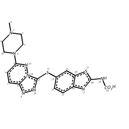 CN1CCN(c2ccc3nnc(Sc4ccc5nc(NC(=O)O)sc5c4)n3n2)CC1